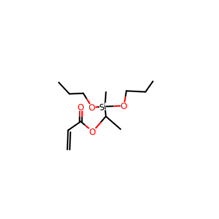 C=CC(=O)OC(C)[Si](C)(OCCC)OCCC